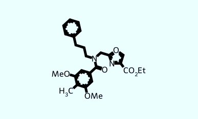 CCOC(=O)c1coc(CN(CCCc2ccccc2)C(=O)c2cc(OC)c(C)c(OC)c2)n1